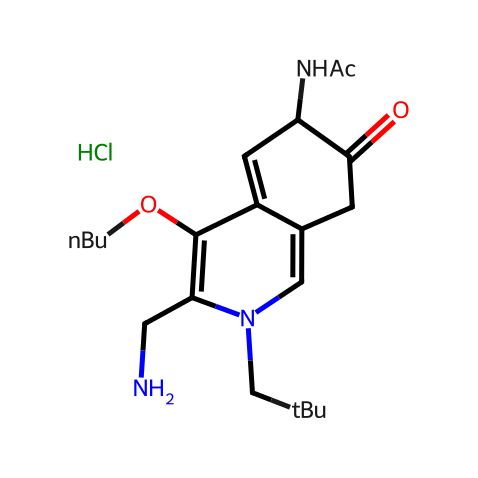 CCCCOC1=C(CN)N(CC(C)(C)C)C=C2CC(=O)C(NC(C)=O)C=C21.Cl